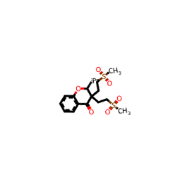 CC(C)C1Oc2ccccc2C(=O)C1(CCS(C)(=O)=O)CCS(C)(=O)=O